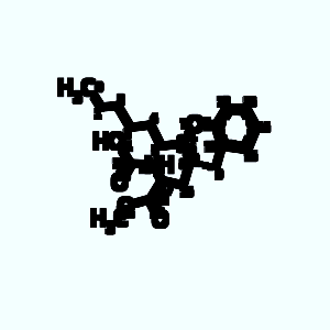 CCCCCC[S+]([O-])[C@H](Cc1ccccc1)CC(NC(=O)O)C(=O)OC